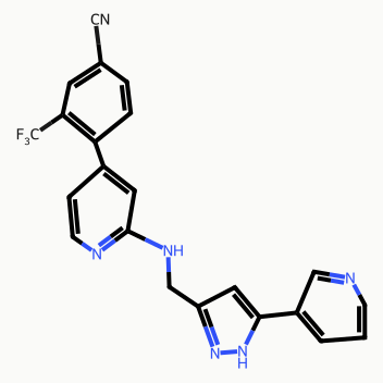 N#Cc1ccc(-c2ccnc(NCc3cc(-c4cccnc4)[nH]n3)c2)c(C(F)(F)F)c1